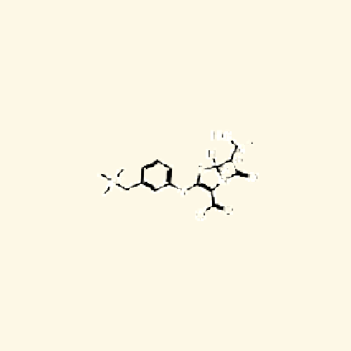 C[C@@H](O)[C@H]1C(=O)N2C(C(=O)[O-])=C(Sc3cccc(C[N+](C)(C)C)c3)S[C@H]12